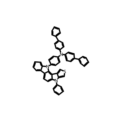 c1ccc(-c2ccc(N(c3ccc(-c4ccccc4)cc3)c3ccc(-n4c5ccccc5c5ccc6c(c7cscc7n6-c6ccccc6)c54)cc3)cc2)cc1